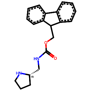 O=C(NC[C@@H]1CCCN1)OCC1c2ccccc2-c2ccccc21